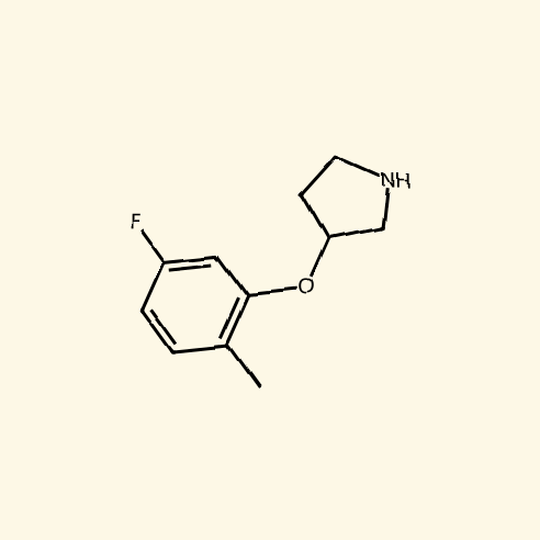 Cc1ccc(F)cc1OC1CCNC1